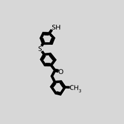 Cc1cccc(CC(=O)c2ccc(Sc3ccc(S)cc3)cc2)c1